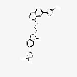 Cc1nc(-c2ccc3ccnc(NCCN4Cc5ccc(C6=NCC(C)(C)O6)cc5C4=O)c3c2)no1